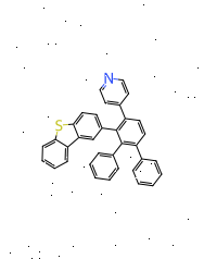 c1ccc(-c2ccc(-c3ccncc3)c(-c3ccc4sc5ccccc5c4c3)c2-c2ccccc2)cc1